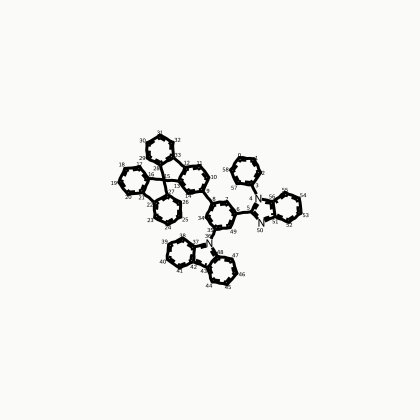 c1ccc(-n2c(-c3cc(-c4ccc5c(c4)C4(c6ccccc6-c6ccccc64)c4ccccc4-5)cc(-n4c5ccccc5c5ccccc54)c3)nc3ccccc32)cc1